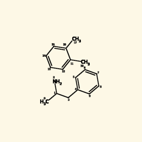 CC(N)Cc1ccccc1.Cc1ccccc1C